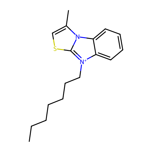 CCCCCCC[n+]1c2ccccc2n2c(C)csc21